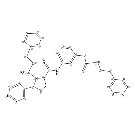 O=C(Cc1cccc(NC(=O)C2CSC(c3ccncc3)N2C(=O)OCc2ccccc2)c1)NCCc1ccccc1